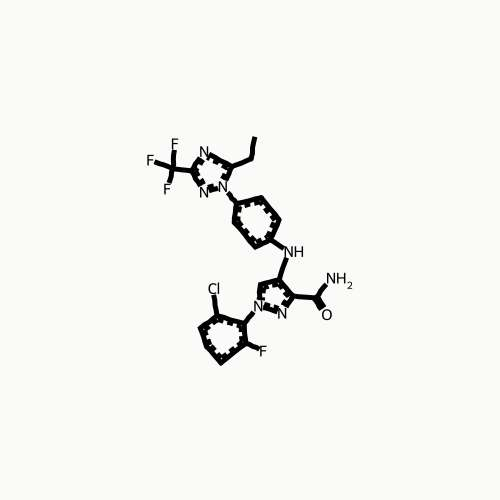 CCc1nc(C(F)(F)F)nn1-c1ccc(Nc2cn(-c3c(F)cccc3Cl)nc2C(N)=O)cc1